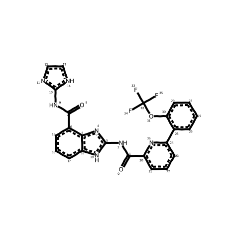 O=C(Nc1nc2c(C(=O)Nc3ncc[nH]3)cccc2[nH]1)c1cccc(-c2ccccc2OC(F)(F)F)n1